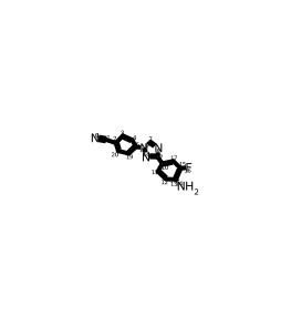 N#Cc1ccc(-n2cnc(-c3ccc(N)c(F)c3)n2)cc1